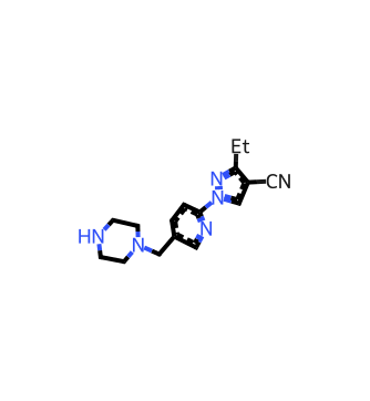 CCc1nn(-c2ccc(CN3CCNCC3)cn2)cc1C#N